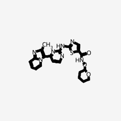 Cc1nc2ccccn2c1-c1ccnc(Nc2ncc(C(=O)NOC3CCCCO3)s2)n1